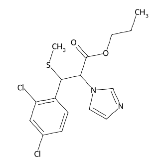 CCCOC(=O)C(C(SC)c1ccc(Cl)cc1Cl)n1ccnc1